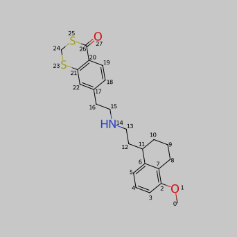 COc1cccc2c1CCCC2CCNCCc1ccc2c(c1)SCSC2=O